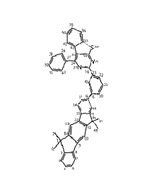 CC1(C)c2ccccc2-c2cc3c(cc21)-c1ccc(-c2cccc(-c4nc(-c5ccccc5)c5c(n4)sc4ccccc45)c2)cc1C3(C)C